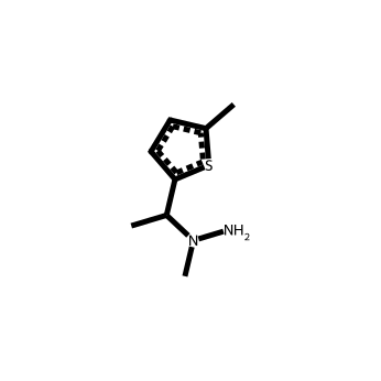 Cc1ccc(C(C)N(C)N)s1